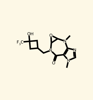 CN1c2ncn(C)c2C(=O)N(CC2CC(O)(C(F)(F)F)C2)C2OC21